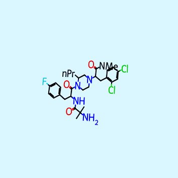 CCCC1CN(C(Cc2ccc(Cl)cc2Cl)C(=O)NC)CCN1C(=O)C(Cc1ccc(F)cc1)NC(=O)C(C)(C)N